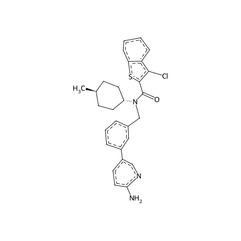 C[C@H]1CC[C@H](N(Cc2cccc(-c3ccc(N)nc3)c2)C(=O)c2sc3ccccc3c2Cl)CC1